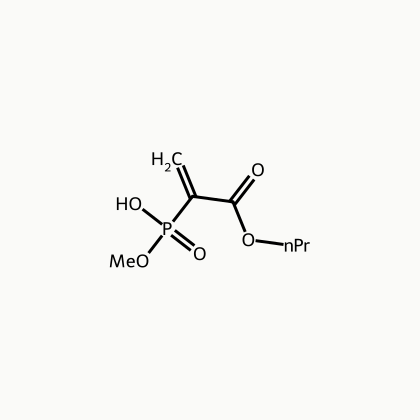 C=C(C(=O)OCCC)P(=O)(O)OC